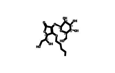 CCCCCOC1=C(O[C@@H]2O[C@H](CO)[C@@H](O)[C@H](O)[C@H]2O)C(=O)O[C@@H]1[C@@H](O)CO